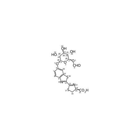 O=CO[C@H]1O[C@@H](Oc2ccc3nc(C4=N[C@@H](C(=O)O)CS4)sc3c2)[C@H](O)[C@@H](O)[C@@H]1O